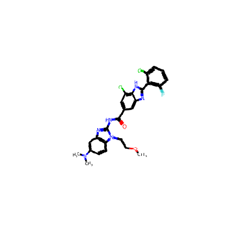 COCCn1c(NC(=O)c2cc(Cl)c3[nH]c(-c4c(F)cccc4Cl)nc3c2)nc2cc(N(C)C)ccc21